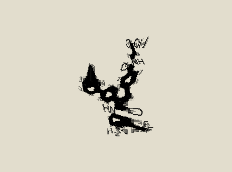 Nc1ccc(NC(=O)C(Cc2ccc(C(=O)NCCC(=O)O)cc2)c2ccc(C3=CCCCC3)cc2)cc1C(F)(F)F